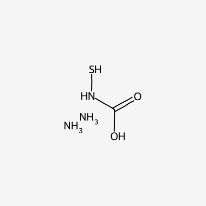 N.N.O=C(O)NS